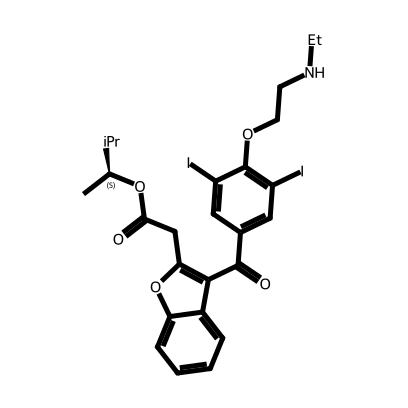 CCNCCOc1c(I)cc(C(=O)c2c(CC(=O)O[C@@H](C)C(C)C)oc3ccccc23)cc1I